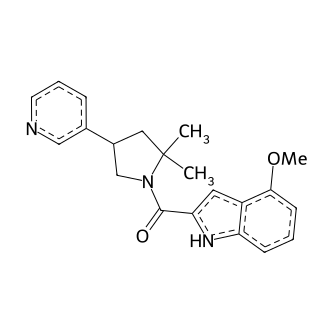 COc1cccc2[nH]c(C(=O)N3CC(c4cccnc4)CC3(C)C)cc12